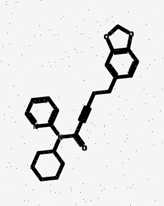 O=C(C#CCCc1ccc2c(c1)OCO2)N(c1ccccn1)C1CCCCC1